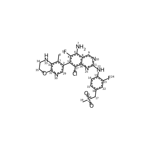 Cc1c(-c2c(F)c(N)c3cnc(Nc4ccc(CS(C)(=O)=O)cc4F)nc3c2Cl)cnc2c1NCCO2